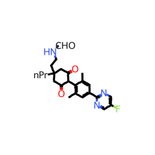 CCCC1(CCNC=O)CC(=O)C(c2c(C)cc(-c3ncc(F)cn3)cc2C)C(=O)C1